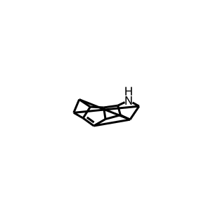 N1C2C3C4C5=C6C3C3C6C1C53C24